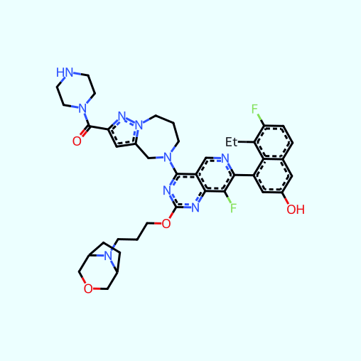 CCc1c(F)ccc2cc(O)cc(-c3ncc4c(N5CCCn6nc(C(=O)N7CCNCC7)cc6C5)nc(OCCCN5C6CCC5COC6)nc4c3F)c12